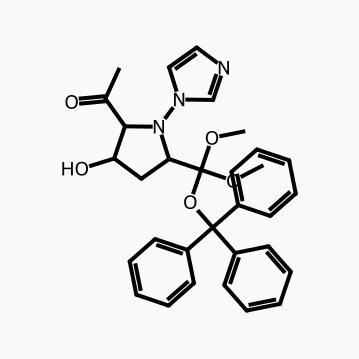 COC(OC)(OC(c1ccccc1)(c1ccccc1)c1ccccc1)C1CC(O)C(C(C)=O)N1n1ccnc1